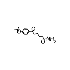 CC(C)Oc1ccc(C(=O)CCCCC(N)=O)cc1